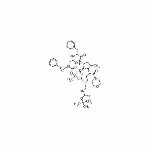 CC1C[C@@H](NC(=O)[C@@H](Cc2ccccc2)NC(=O)CN(C(=O)OC(C)(C)C)[C@H]2CC2c2ccccc2)C(=O)N1C(CCCCNC(=O)OC(C)(C)C)C(=O)N1CCOCC1